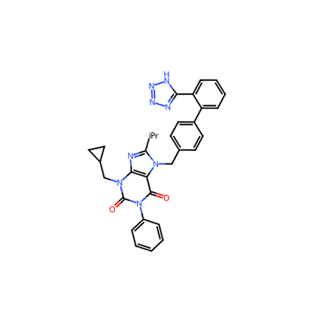 CC(C)c1nc2c(c(=O)n(-c3ccccc3)c(=O)n2CC2CC2)n1Cc1ccc(-c2ccccc2-c2nnn[nH]2)cc1